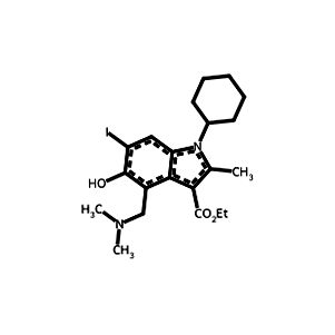 CCOC(=O)c1c(C)n(C2CCCCC2)c2cc(I)c(O)c(CN(C)C)c12